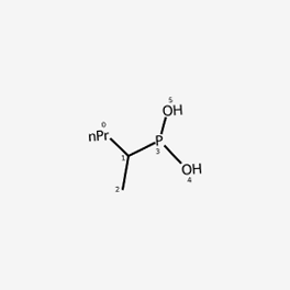 CCCC(C)P(O)O